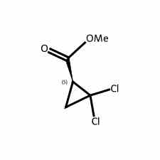 COC(=O)[C@@H]1CC1(Cl)Cl